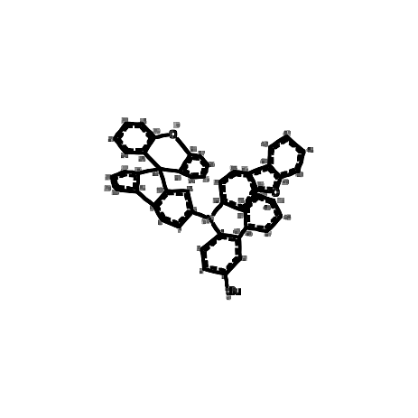 CC(C)(C)c1ccc(N(c2ccc3c(c2)C2(c4ccccc4Oc4ccccc42)c2ccccc2-3)c2ccc3c(c2)oc2ccccc23)c(-c2ccccc2)c1